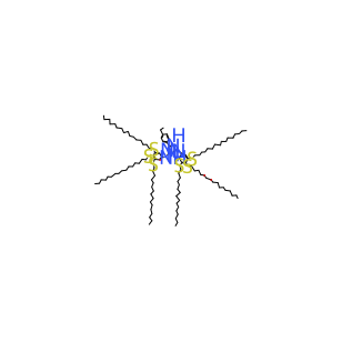 CCCCCCCCCCCCCCCCSc1cc(Nc2nc(Nc3cc(SCCCCCCCCCCCCCCCC)c(SCCCCCCCCCCCCCCCC)c(SCCCCCCCCCCCCCCCC)c3)nc(-c3ccc(CC)cc3)n2)cc(SCCCCCCCCCCCCCCCC)c1SCCCCCCCCCCCCCCCC